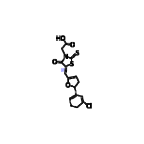 O=C(O)CN1C(=O)/C(=C/C2=CCC(C3=CCCC(Cl)=C3)O2)SC1=S